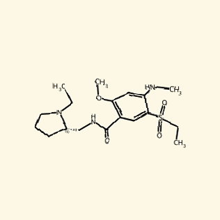 CCN1CCC[C@H]1CNC(=O)c1cc(S(=O)(=O)CC)c(NC)cc1OC